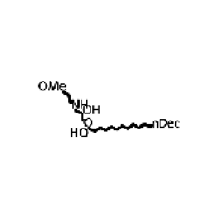 CCCCCCCCCCCCCCCCCCCCCC(O)OCC(O)CNCCCOC